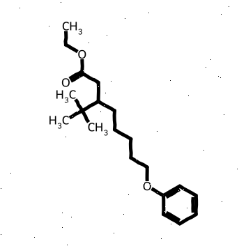 CCOC(=O)CC(CCCCCOc1ccccc1)C(C)(C)C